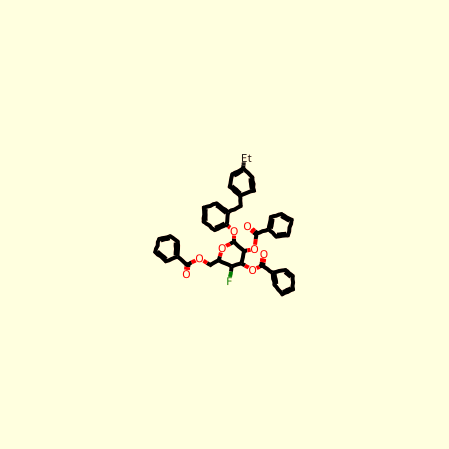 CCc1ccc(Cc2ccccc2OC2OC(COC(=O)c3ccccc3)C(F)C(OC(=O)c3ccccc3)C2OC(=O)c2ccccc2)cc1